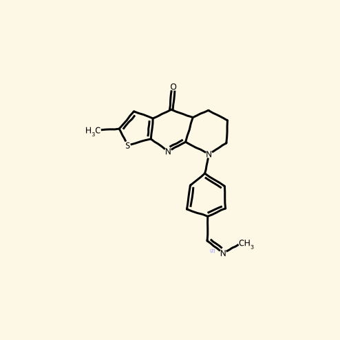 C/N=C\c1ccc(N2CCCC3C(=O)c4cc(C)sc4N=C32)cc1